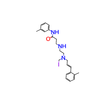 Cc1cccc(NC(=O)CCNCCN(CI)C/C=C/c2ccccc2C)c1